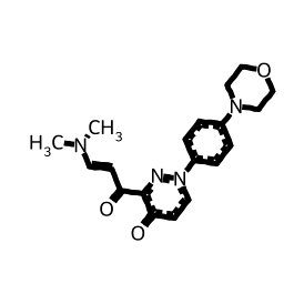 CN(C)/C=C/C(=O)c1nn(-c2ccc(N3CCOCC3)cc2)ccc1=O